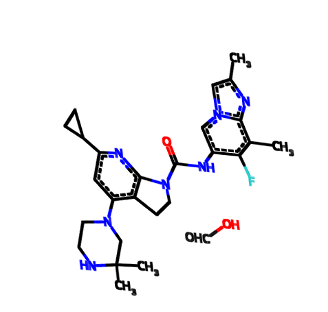 Cc1cn2cc(NC(=O)N3CCc4c(N5CCNC(C)(C)C5)cc(C5CC5)nc43)c(F)c(C)c2n1.O=CO